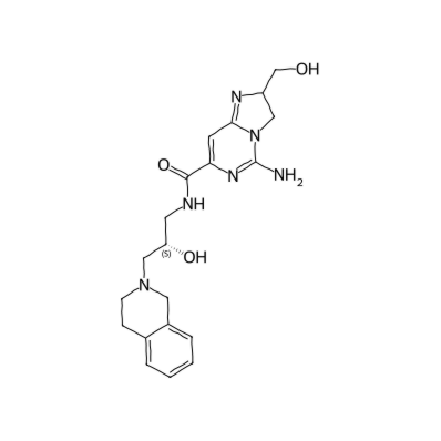 NC1=NC(C(=O)NC[C@H](O)CN2CCc3ccccc3C2)=CC2=NC(CO)CN12